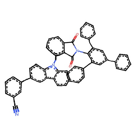 N#Cc1cccc(-c2ccc3c(c2)c2ccccc2n3-c2cccc3c2C(=O)N(c2c(-c4ccccc4)cc(-c4ccccc4)cc2-c2ccccc2)C3=O)c1